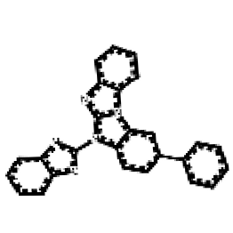 c1ccc(-c2ccc3c(c2)n2c4ccccc4nc2n3-c2nc3ccccc3o2)cc1